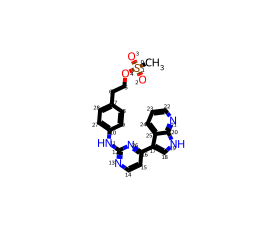 CS(=O)(=O)OCCc1ccc(Nc2nccc(-c3c[nH]c4ncccc34)n2)cc1